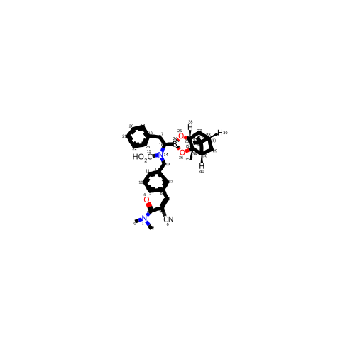 CN(C)C(=O)C(C#N)=Cc1cccc(CN(C(=O)O)C(Cc2ccccc2)B2O[C@@H]3C[C@@H]4C[C@@H](C4(C)C)[C@]3(C)O2)c1